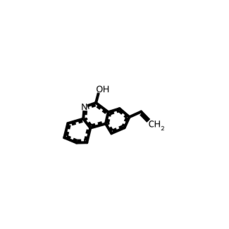 C=Cc1ccc2c(c1)c(O)nc1ccccc12